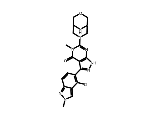 Cn1cc2c(Cl)c(-c3n[nH]c4nc(N5CC6COCC(C5)N6)n(C)c(=O)c34)ccc2n1